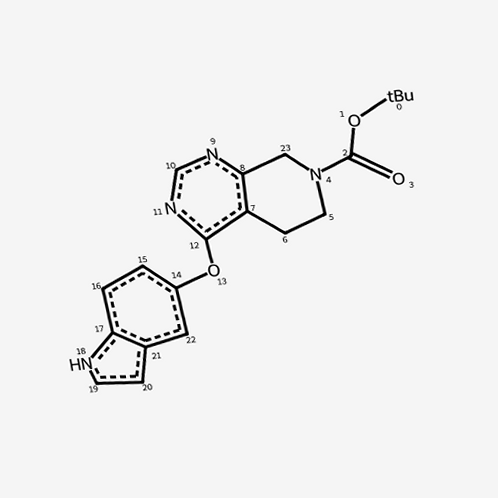 CC(C)(C)OC(=O)N1CCc2c(ncnc2Oc2ccc3[nH]ccc3c2)C1